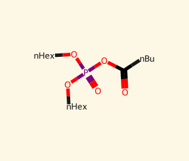 CCCCCCOP(=O)(OCCCCCC)OC(=O)CCCC